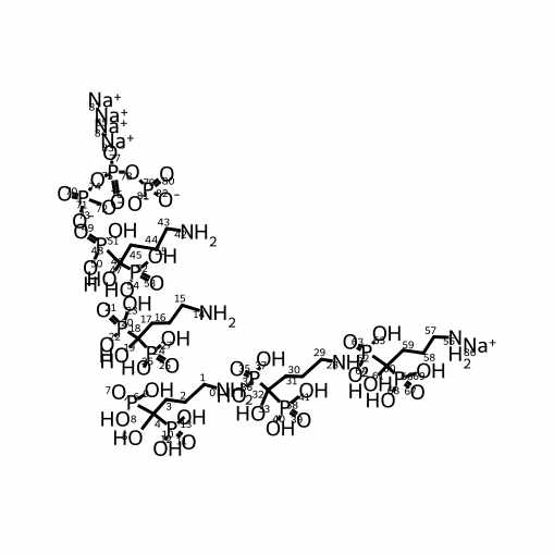 NCCCC(O)(P(=O)(O)O)P(=O)(O)O.NCCCC(O)(P(=O)(O)O)P(=O)(O)O.NCCCC(O)(P(=O)(O)O)P(=O)(O)O.NCCCC(O)(P(=O)(O)O)P(=O)(O)O.NCCCC(O)(P(=O)(O)O)P(=O)(O)O.O=P([O-])([O-])OP(=O)([O-])OP(=O)([O-])[O-].[Na+].[Na+].[Na+].[Na+].[Na+]